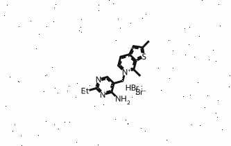 Br.CCc1ncc(C[n+]2ccc3cc(C)sc3c2C)c(N)n1.[Br-]